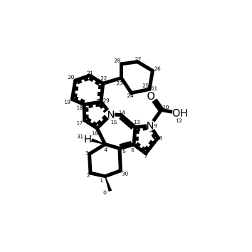 C[C@H]1CC[C@H]2C(=c3ccn(C(=O)O)c3=Cn3c2cc2cccc(C4CCCCC4)c23)C1